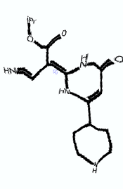 CC(C)OC(=O)/C(C=N)=C1\NC(=O)C=C(C2CCNCC2)N1